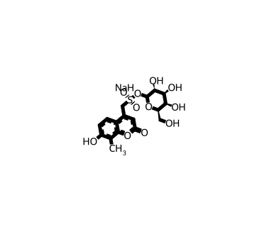 Cc1c(O)ccc2c(CS(=O)(=O)OC3O[C@H](CO)[C@H](O)[C@H](O)[C@H]3O)cc(=O)oc12.[NaH]